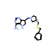 Nc1ncnc2c1NCC2CN1CC[C@@H](CSCc2ccccc2)C1